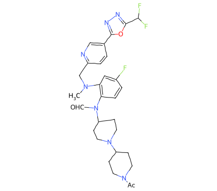 CC(=O)N1CCC(N2CCC(N(C=O)c3ccc(F)cc3N(C)Cc3ccc(-c4nnc(C(F)F)o4)cn3)CC2)CC1